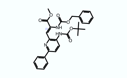 COC(=O)/C(=C/c1nc(-c2ccccc2)ccc1NC(=O)OC(C)(C)C)NC(=O)OCc1ccccc1